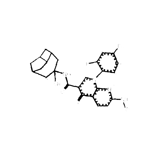 CC(C)Nc1ccc2c(=O)c(C(=O)NC3(C)CC4CC5CC(C3)C5C4)cn(-c3ccc(F)cc3F)c2n1